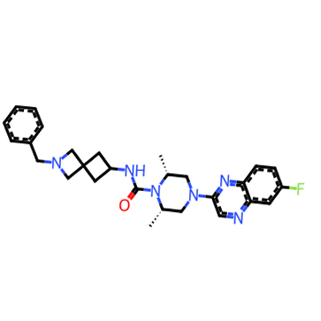 C[C@@H]1CN(c2cnc3cc(F)ccc3n2)C[C@H](C)N1C(=O)NC1CC2(C1)CN(Cc1ccccc1)C2